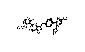 COc1ncnc(C)c1-c1ncc2c(n1)c(Cc1ccc(-c3nc(C(F)(F)F)cn3C3CN(C)C3)cc1)cn2C